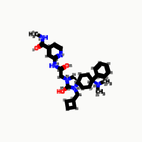 CNC(=O)c1ccnc(NC(=O)CN2C[C@]3(CC[C@](c4ccccc4)(N(C)C)CC3)N(CC3CCC3)C2O)c1